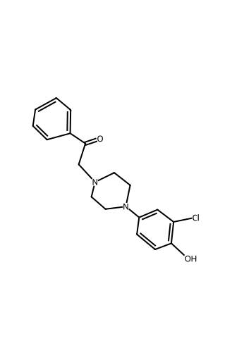 O=C(CN1CCN(c2ccc(O)c(Cl)c2)CC1)c1ccccc1